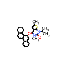 Cc1cc2c(=O)n(C)c(=O)n(C(C)C)c2s1.c1ccc2c(c1)ccc1c3c(ccc12)CCCC3